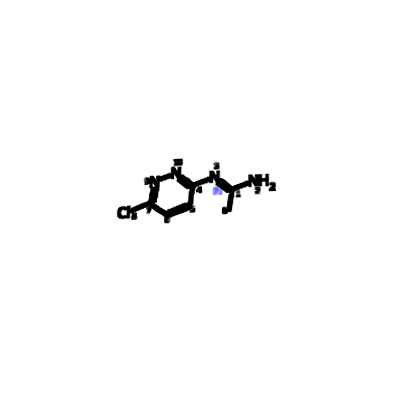 C/C(N)=N\c1ccc(Cl)nn1